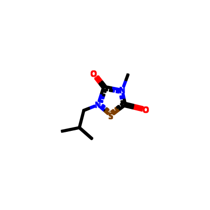 CC(C)Cn1sc(=O)n(C)c1=O